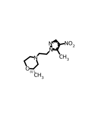 Cc1c([N+](=O)[O-])cnn1CCN1CCO[C@@H](C)C1